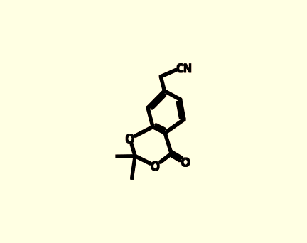 CC1(C)OC(=O)c2ccc(CC#N)cc2O1